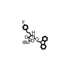 CC(C)(C)OC(=O)C(CCc1ccc(F)cc1)NC(=O)OCC1c2ccccc2-c2ccccc21